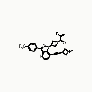 C=C(F)C(=O)N1CC(n2nc(-c3ccc(C(F)(F)F)cc3)c3nccc(C#CC4CN(C)C4)c32)C1